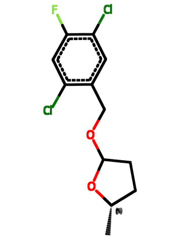 C[C@H]1CCC(OCc2cc(Cl)c(F)cc2Cl)O1